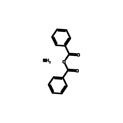 O=C(OC(=O)c1ccccc1)c1ccccc1.[BiH3]